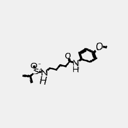 COC1=CCC(NC(=O)CCCCN[S+]([O-])C(C)C)C=C1